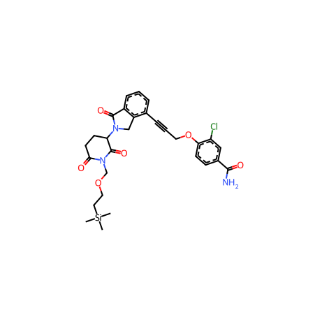 C[Si](C)(C)CCOCN1C(=O)CCC(N2Cc3c(C#CCOc4ccc(C(N)=O)cc4Cl)cccc3C2=O)C1=O